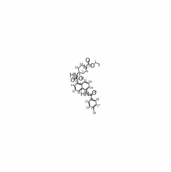 CCOC(=O)N1CCC(NS(=O)(=O)c2cccc3c(NC(=O)c4ccc(C)cc4)cccc23)CC1